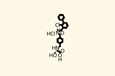 Cl.O=C(O)[C@H](CO)NCc1ccc(-c2nnc(-c3cccc(-c4ccccc4)c3Cl)o2)cc1